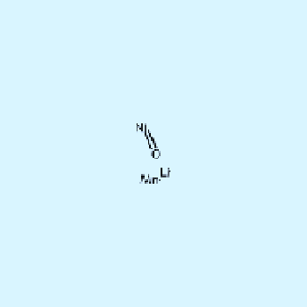 [Li].[Mn].[O]=[Ni]